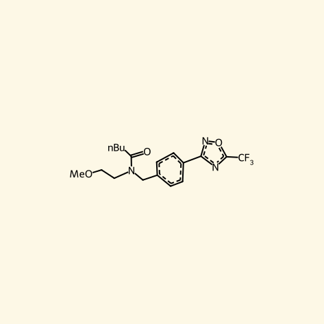 CCCCC(=O)N(CCOC)Cc1ccc(-c2noc(C(F)(F)F)n2)cc1